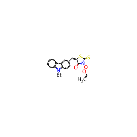 C=COON1C(=O)/C(=C\c2ccc3c(c2)c2ccccc2n3CC)SC1=S